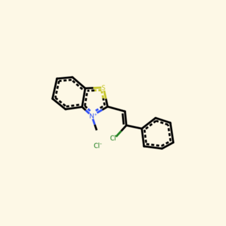 C[n+]1c(C=C(Cl)c2ccccc2)sc2ccccc21.[Cl-]